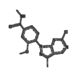 CNC(=O)c1ccc(-n2nc(C)c3cnc(Cl)cc32)c(OC)c1